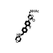 CC(=O)NC[C@H]1CN(c2ccc(-c3ccc(CNN4CCOCC4)cc3)c(F)c2)C(=O)O1